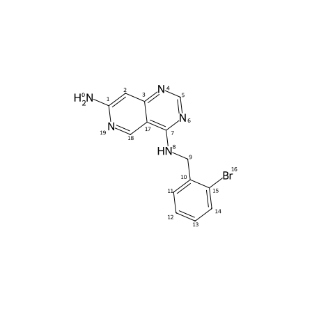 Nc1cc2ncnc(NCc3ccccc3Br)c2cn1